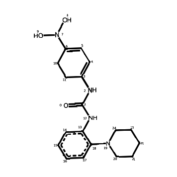 O=C(NC1=CC=C(N(O)O)CC1)Nc1ccccc1N1CCCCC1